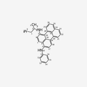 CC(C)CC(C)Nc1ccc2c(Nc3ccccc3)ccc3c4cccc5cccc(c1c23)c54